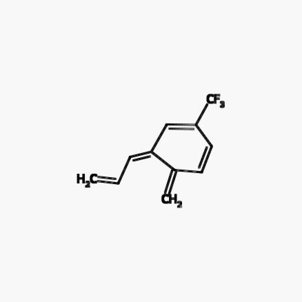 C=C/C=c1/cc(C(F)(F)F)ccc1=C